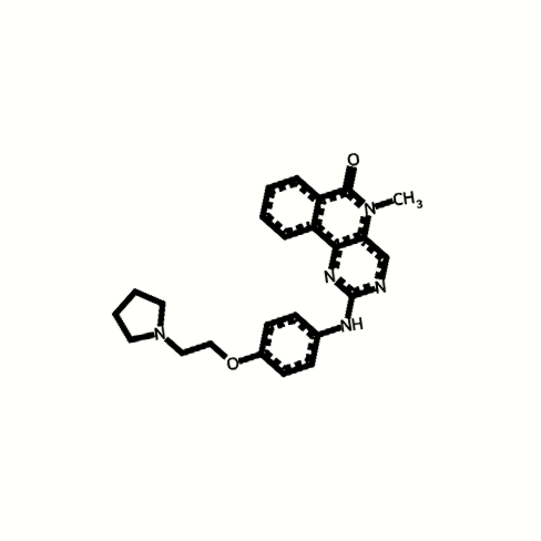 Cn1c(=O)c2ccccc2c2nc(Nc3ccc(OCCN4CCCC4)cc3)ncc21